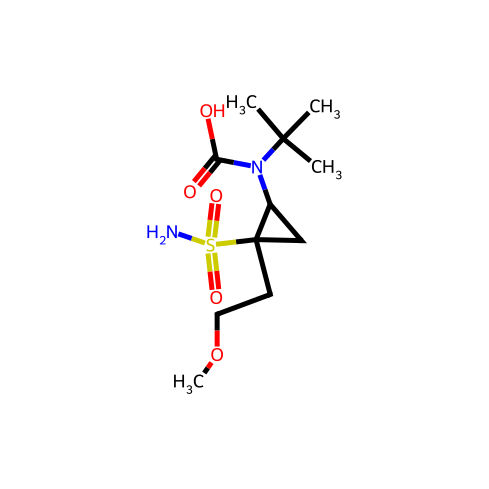 COCCC1(S(N)(=O)=O)CC1N(C(=O)O)C(C)(C)C